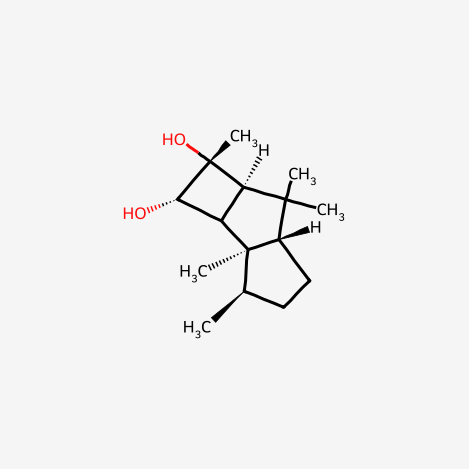 C[C@@H]1CC[C@H]2C(C)(C)[C@H]3C([C@H](O)[C@]3(C)O)[C@]12C